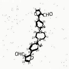 O=Cc1ccoc1-c1ccc(N2CCCN(c3ccc(-c4occc4C=O)cn3)CC2)nc1